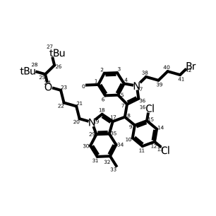 Cc1ccc2c(c1)c(C(c1ccc(Cl)cc1Cl)c1cn(CCCCOC(CC(C)(C)C)C(C)(C)C)c3ccc(C)cc13)cn2CCCCBr